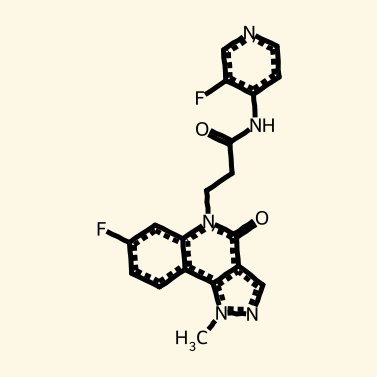 Cn1ncc2c(=O)n(CCC(=O)Nc3ccncc3F)c3cc(F)ccc3c21